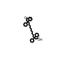 O=C(O)CC(CCCCCCCCCCC(CC(=O)O)(C1CCCCC1)C1CCCCC1)(C1CCCCC1)C1CCCCC1